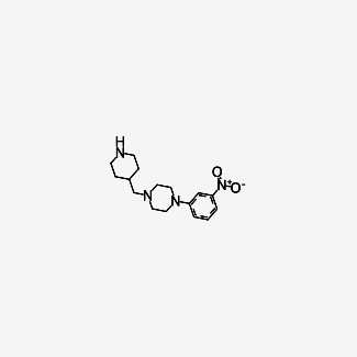 O=[N+]([O-])c1cccc(N2CCN(CC3CCNCC3)CC2)c1